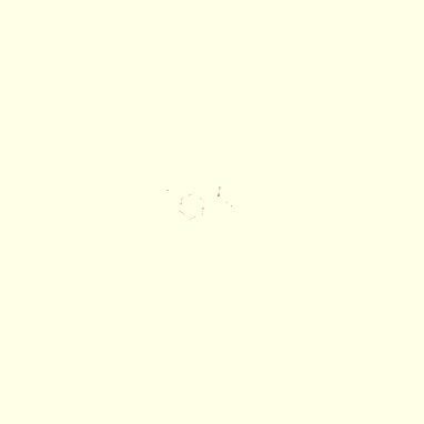 O=C(NC1C2COCC21)c1cc(Br)c2c(c1)CC(CF)O2